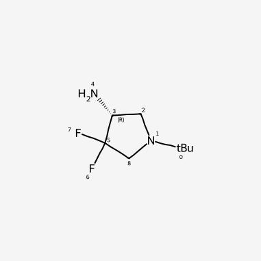 CC(C)(C)N1C[C@@H](N)C(F)(F)C1